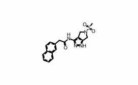 CS(=O)(=O)N1Cc2[nH]nc(NC(=O)Cc3ccc4ccccc4c3)c2C1